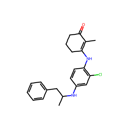 CC1=C(Nc2ccc(NC(C)Cc3ccccc3)cc2Cl)CCCC1=O